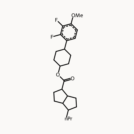 CCCC1CCC2C(C(=O)OC3CCC(c4ccc(OC)c(F)c4F)CC3)CCC12